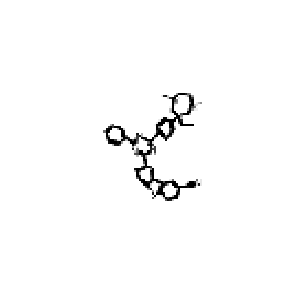 CCC1(c2ccc(-c3nc(-c4ccccc4)nc(-c4ccc5sc6ccc(C#N)cc6c5c4)n3)cc2)C[C@H](C)CC[C@H](C)C1